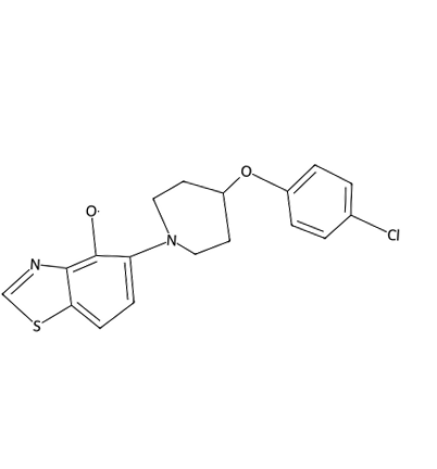 [O]c1c(N2CCC(Oc3ccc(Cl)cc3)CC2)ccc2scnc12